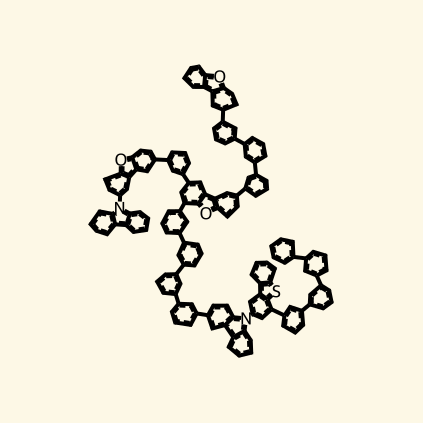 c1ccc(-c2cccc(-c3cccc(-c4cccc(-c5cc(-n6c7ccccc7c7cc(-c8cccc(-c9cccc(-c%10cccc(-c%11cccc(-c%12cc(-c%13cccc(-c%14ccc%15oc%16ccc(-n%17c%18ccccc%18c%18ccccc%18%17)cc%16c%15c%14)c%13)cc%13c%12oc%12ccc(-c%14cccc(-c%15cccc(-c%16cccc(-c%17ccc%18oc%19ccccc%19c%18c%17)c%16)c%15)c%14)cc%12%13)c%11)c%10)c9)c8)ccc76)cc6c5sc5ccccc56)c4)c3)c2)cc1